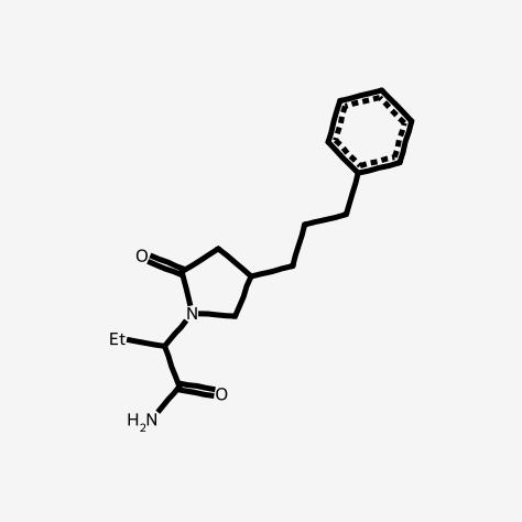 CCC(C(N)=O)N1CC(CCCc2ccccc2)CC1=O